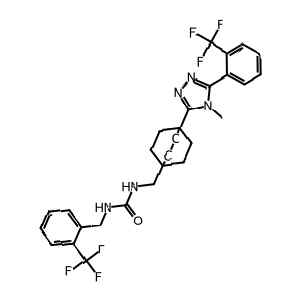 Cn1c(-c2ccccc2C(F)(F)F)nnc1C12CCC(CNC(=O)NCc3ccccc3C(F)(F)F)(CC1)CC2